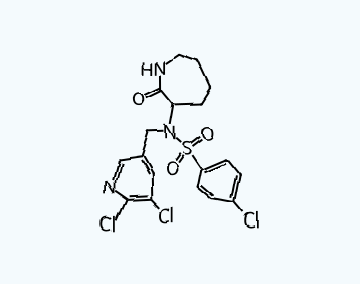 O=C1NCCCCC1N(Cc1cnc(Cl)c(Cl)c1)S(=O)(=O)c1ccc(Cl)cc1